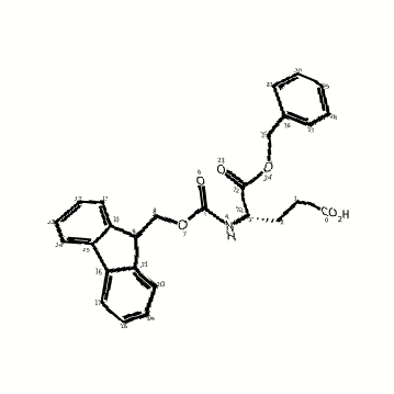 O=C(O)CC[C@H](NC(=O)OCC1c2ccccc2-c2ccccc21)C(=O)OCc1ccccc1